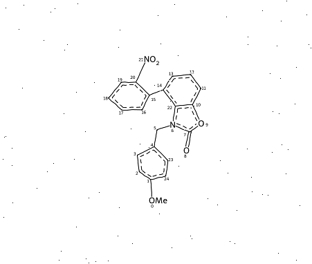 COc1ccc(Cn2c(=O)oc3cccc(-c4ccccc4[N+](=O)[O-])c32)cc1